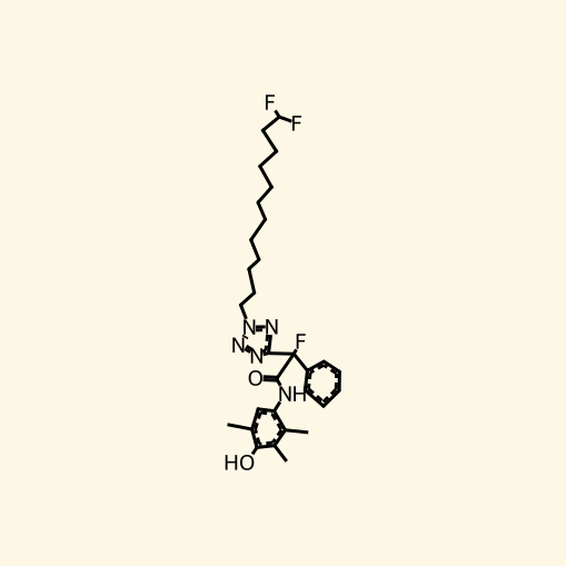 Cc1cc(NC(=O)C(F)(c2ccccc2)c2nnn(CCCCCCCCCCCC(F)F)n2)c(C)c(C)c1O